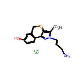 Cl.NCCCn1nc2c(c1C(=O)O)SCc1cc(O)ccc1-2